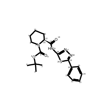 CC(C)(C)OC(=O)N1CCCC[C@H]1C(=O)Nc1nnc(-c2ccccc2)s1